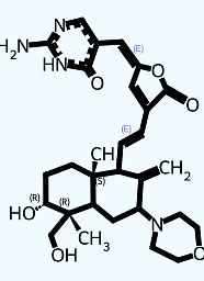 C=C1C(N2CCOCC2)CC2[C@](C)(CC[C@@H](O)[C@@]2(C)CO)C1/C=C/C1=CC(=C\c2cnc(N)[nH]c2=O)/OC1=O